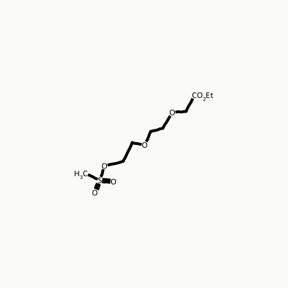 CCOC(=O)COCCOCCOS(C)(=O)=O